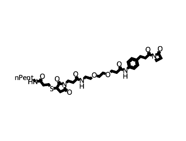 CCCCCNC(=O)CCSC1CC(=O)N(CCC(=O)NCCOCCOCCC(=O)Nc2ccc(CCC(=O)N3CCC3=O)cc2)C1=O